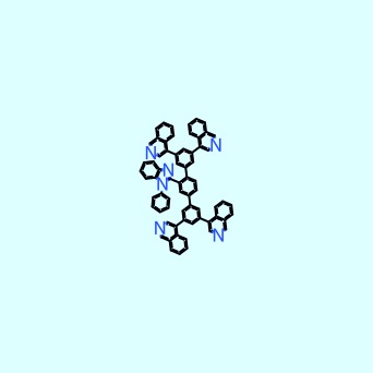 c1ccc(-n2c(-c3cc(-c4cc(-c5cncc6ccccc56)cc(-c5cncc6ccccc56)c4)ccc3-c3cc(-c4cncc5ccccc45)cc(-c4cncc5ccccc45)c3)nc3ccccc32)cc1